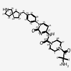 CC(C)(N)C(=O)N1CCN(C(=O)Nc2ccn(-c3ccc(CN4CCC5(CCNC5)C4)cc3)c(=O)n2)CC1